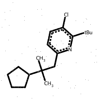 CC(C)(C)c1nc(CC(C)(C)C2CCCC2)ccc1Cl